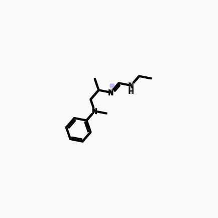 CCN/C=N/C(C)CN(C)c1ccccc1